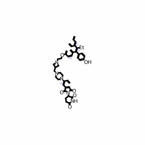 C=C/C=C(C=C)/C(CC)=C(\C(=C)/C=C\C(=C)OCCN1CC(CN2CCN(/C(C=C)=C/C3=CC(=O)N(C4CCC(=O)NC4=O)C3=O)CC2)C1)c1ccc(O)cc1